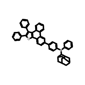 c1ccc(-c2oc3c4ccc(-c5ccc(N(c6ccccc6)C6C7CC8CC(C7)CC6C8)cc5)cc4c4ccccc4c3c2-c2ccccc2)cc1